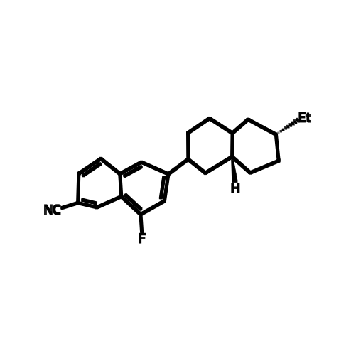 CC[C@@H]1CC[C@@H]2CC(c3cc(F)c4cc(C#N)ccc4c3)CCC2C1